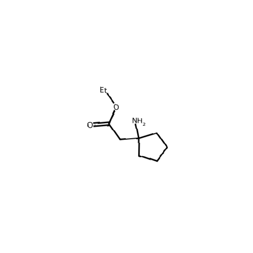 CCOC(=O)CC1(N)CCCC1